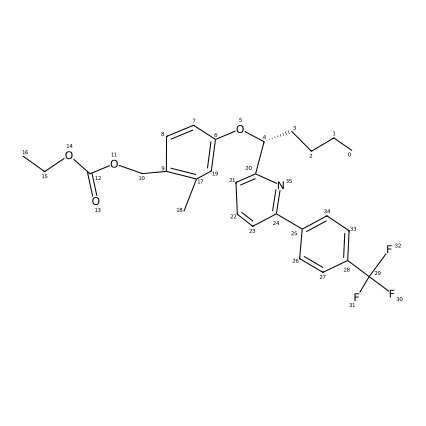 CCCC[C@@H](Oc1ccc(COC(=O)OCC)c(C)c1)c1cccc(-c2ccc(C(F)(F)F)cc2)n1